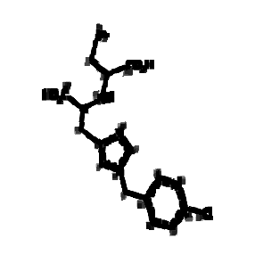 CC(C)CC(NC(Cc1cn(Cc2ccc(Cl)cc2)cn1)C(=O)O)C(=O)O